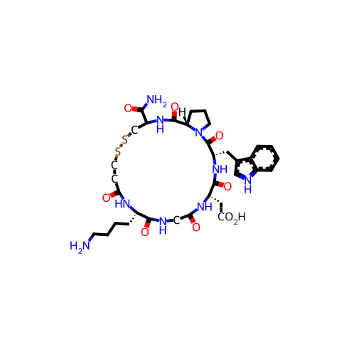 NCCCC[C@@H]1NC(=O)CCSSCC(C(N)=O)NC(=O)[C@@H]2CCCN2C(=O)[C@H](Cc2c[nH]c3ccccc23)NC(=O)[C@H](CC(=O)O)NC(=O)CNC1=O